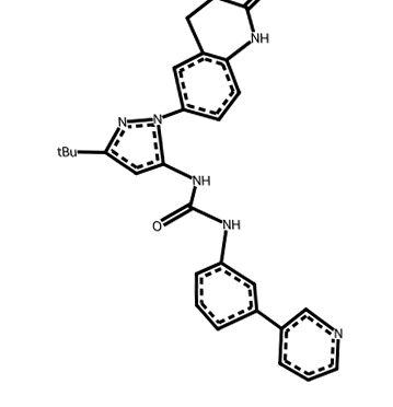 CC(C)(C)c1cc(NC(=O)Nc2cccc(-c3cccnc3)c2)n(-c2ccc3c(c2)CCC(=O)N3)n1